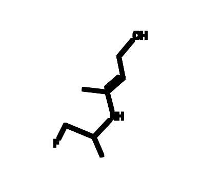 C/C(=C\CO)NC(C)CF